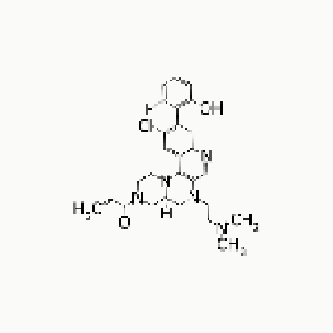 C=CC(=O)N1CCN2c3c(cnc4cc(-c5c(O)cccc5F)c(Cl)cc34)N(CCN(C)C)C[C@H]2C1